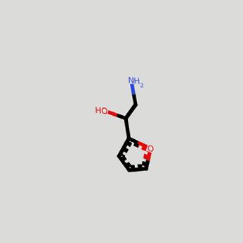 NCC(O)c1ccco1